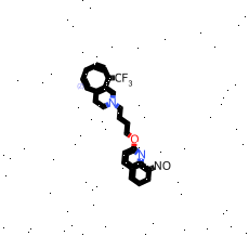 O=NC1=c2nc(OCCCCN3CCC4=C(C3)C(C(F)(F)F)C#CC/C=C\4)ccc2=CCC1